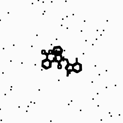 COC(=O)c1ccccc1-n1c(=O)n(Cc2cn(C)c3cccc(C)c23)c2ccccc21